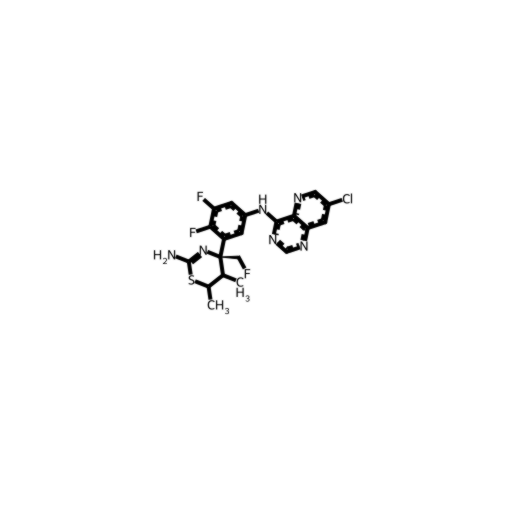 CC1SC(N)=N[C@](CF)(c2cc(Nc3ncnc4cc(Cl)cnc34)cc(F)c2F)C1C